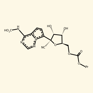 CC(C)OC(=O)OC[C@H]1O[C@@](C#N)(c2ccc3c(NC(=O)O)ncnn23)[C@H](O)[C@@H]1O